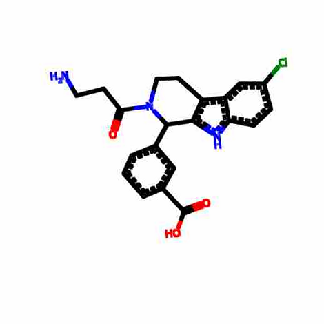 NCCC(=O)N1CCc2c([nH]c3ccc(Cl)cc23)C1c1cccc(C(=O)O)c1